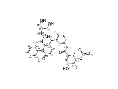 Cc1ccc(NC(=O)c2cc(O)c(C)c(OC(=O)C(F)(F)F)c2)cc1-c1nc(NC(CO)CO)nc2c1ccc(=O)n2-c1c(F)cccc1F